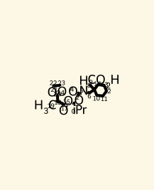 CC(C)C(OC(=O)NCC1(CC(=O)O)CCCCC1)OC(=O)C(C)C1OCCO1